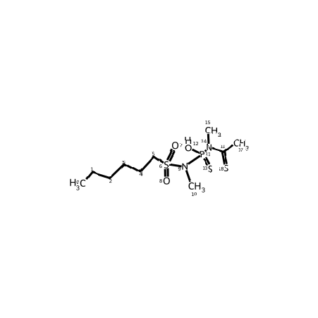 CCCCCCS(=O)(=O)N(C)P(O)(=S)N(C)C(C)=S